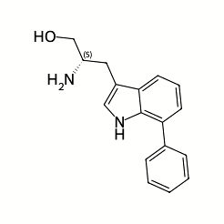 N[C@H](CO)Cc1c[nH]c2c(-c3ccccc3)cccc12